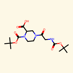 CC(C)(C)OC(=O)NCC(=O)N1CCN(C(=O)OC(C)(C)C)C(C(=O)O)C1